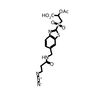 CC(=O)OC(CS(=O)(=O)c1nc2ccc(CNC(=O)CCN=[N+]=[N-])cc2s1)C(=O)O